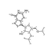 CC(C)OC[C@@H]1O[C@H](n2cnc3c(=O)[nH]c(N)nc32)C(O)C1OC(C)C